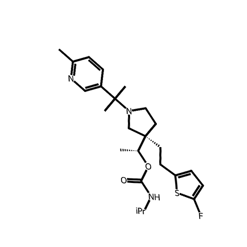 Cc1ccc(C(C)(C)N2CC[C@@](CCc3ccc(F)s3)([C@@H](C)OC(=O)NC(C)C)C2)cn1